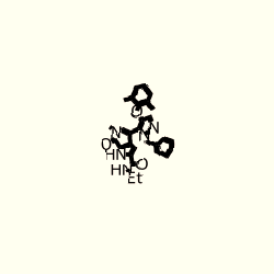 CCNC(=O)c1cc2c(-c3c(Oc4c(C)cccc4C)cnn3Cc3ccccc3)cn(C)c(=O)c2[nH]1